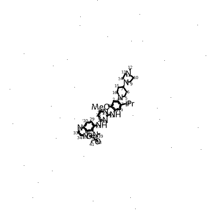 COc1cc(N2CCC(N3CCN(C)CC3)CC2)c(C(C)C)cc1Nc1nccc(Nc2ccc3nccnc3c2N(C)S(C)(=O)=O)n1